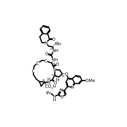 COc1ccc2c(O[C@@H]3C[C@H]4C(=O)N[C@]5(C(=O)O)CC5CCCCCCC[C@H](NC(=O)N[C@H](CN5CCc6ccccc6C5=O)C(C)(C)C)C(=O)N4C3)cc(-c3csc(NC(C)C)n3)nc2c1